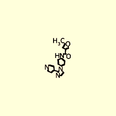 Cc1cc(C(=O)Nc2ccc(-n3ccnc3-c3ccncc3)cc2)co1